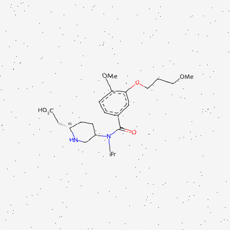 COCCCOc1cc(C(=O)N(C(C)C)C2CC[C@@H](CC(=O)O)NC2)ccc1OC